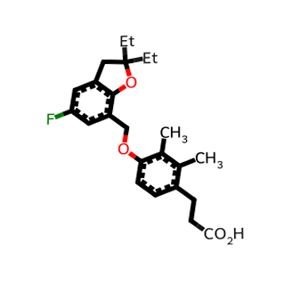 CCC1(CC)Cc2cc(F)cc(COc3ccc(CCC(=O)O)c(C)c3C)c2O1